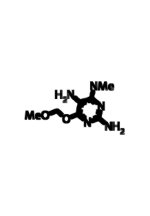 CNc1nc(N)nc(OCOC)c1N